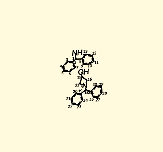 NC(c1ccccc1)c1ccccc1.OC1CN(C(c2ccccc2)c2ccccc2)C1